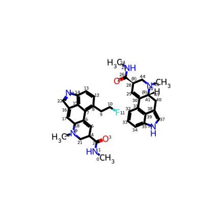 CNC(=O)C1C=C2c3c(CCF)ccc4c3C(=CC2N(C)C1)C=N4.CNC(=O)[C@@H]1C=C2c3cccc4[nH]cc(c34)C[C@H]2N(C)C1